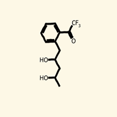 CC(O)CC(O)Cc1ccccc1C(=O)C(F)(F)F